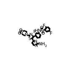 Nc1nccc(-c2sc(N3CCS(=O)(=O)CC3)nc2-c2cccc(NS(=O)(=O)c3cc(F)ccc3F)c2F)n1